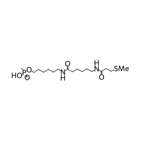 CSCCC(=O)NCCCCCC(=O)NCCCCCCOP(C)(=O)O